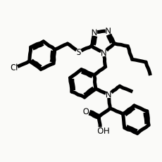 CCCCc1nnc(SCc2ccc(Cl)cc2)n1Cc1ccccc1N(CC)C(C(=O)O)c1ccccc1